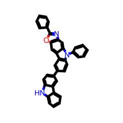 c1ccc(-c2nc3cc4c(cc3o2)c2cc(-c3ccc5[nH]c6ccccc6c5c3)ccc2n4-c2ccccc2)cc1